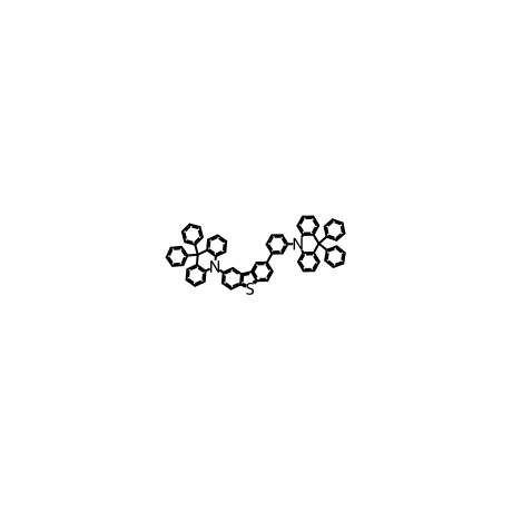 c1ccc(C2(c3ccccc3)c3ccccc3N(c3cccc(-c4ccc5sc6ccc(N7c8ccccc8C(c8ccccc8)(c8ccccc8)c8ccccc87)cc6c5c4)c3)c3ccccc32)cc1